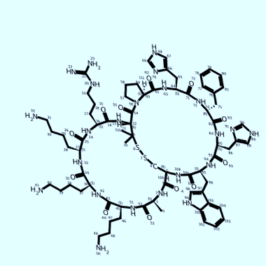 C[C@@H]1NC(=O)[C@@H]2CSSC(C)(C)[C@H](NC(=O)[C@H](CCCNC(=N)N)NC(=O)[C@H](CCCCN)NC(=O)[C@H](CCCCN)NC(=O)[C@H](CCCCN)NC1=O)C(=O)N1CCC[C@H]1C(=O)N[C@@H](Cc1c[nH]cn1)C(=O)N[C@H](Cc1ccccc1)C(=O)N[C@@H](Cc1c[nH]cn1)C(=O)N[C@@H](Cc1c[nH]c3ccccc13)C(=O)N2